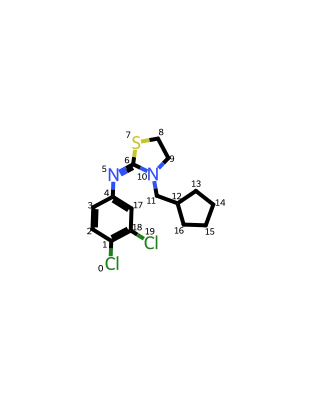 Clc1ccc(N=C2SCCN2CC2CCCC2)cc1Cl